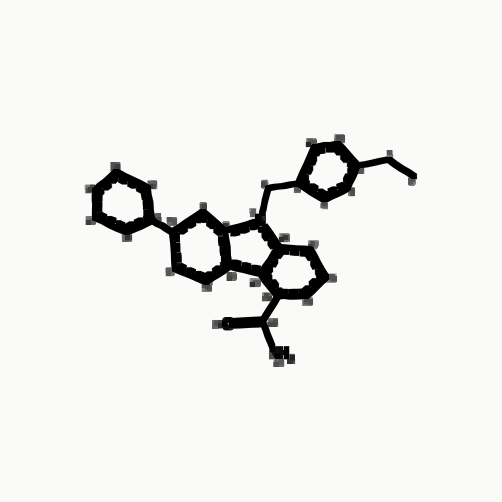 CCc1ccc(Cn2c3cc(-c4ccccc4)c[c]c3c3c(C(N)=O)cccc32)cc1